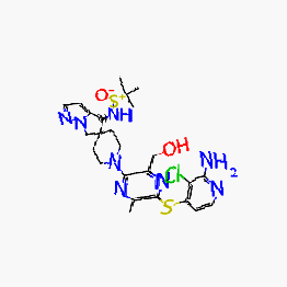 Cc1nc(N2CCC3(CC2)Cn2nccc2[C@H]3N[S+]([O-])C(C)(C)C)c(CO)nc1Sc1ccnc(N)c1Cl